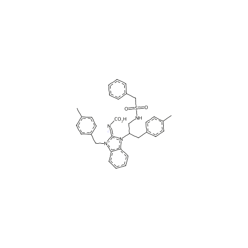 Cc1ccc(CC(CNS(=O)(=O)Cc2ccccc2)n2/c(=N\C(=O)O)n(Cc3ccc(C)cc3)c3ccccc32)cc1